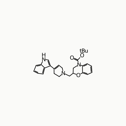 CC(C)(C)OC(=O)N1CC(CN2CC=C(c3c[nH]c4ccccc34)CC2)Oc2ccccc21